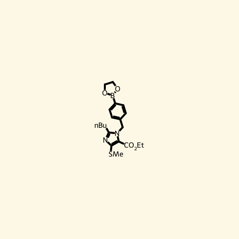 CCCCc1nc(SC)c(C(=O)OCC)n1Cc1ccc(B2OCCO2)cc1